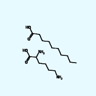 CCCCCCCCCC(=O)O.NCCCCC(N)C(=O)O